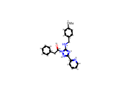 COc1ccc(CNc2nc(-c3ccccn3)nn2C(=O)Cc2ccccc2)cc1